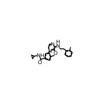 Cc1ccccc1CCNc1nccn(-c2cc(C(=O)NC3CC3)ccc2C)c1=O